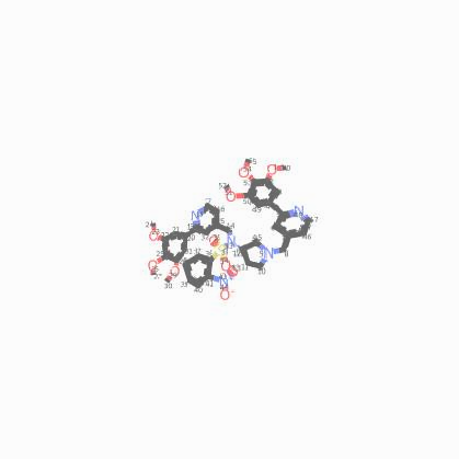 COc1cc(-c2cc(CN3CC[C@H](N(Cc4ccnc(-c5cc(OC)c(OC)c(OC)c5)c4)S(=O)(=O)c4ccccc4[N+](=O)[O-])C3)ccn2)cc(OC)c1OC